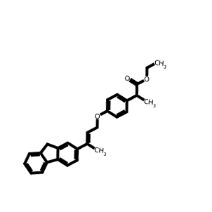 CCOC(=O)C(C)c1ccc(OCC=C(C)c2ccc3c(c2)Cc2ccccc2-3)cc1